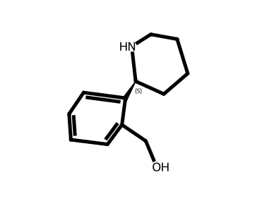 OCc1ccccc1[C@@H]1CCCCN1